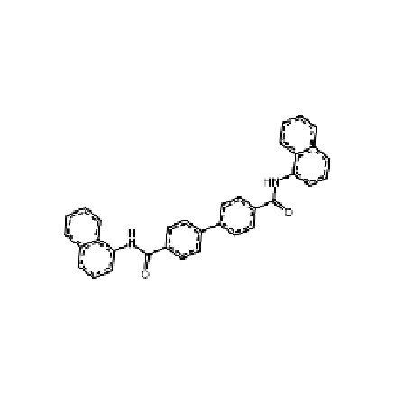 O=C(Nc1cccc2ccccc12)c1ccc(-c2ccc(C(=O)Nc3cccc4ccccc34)cc2)cc1